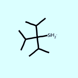 CC(C)C([SiH2])(C(C)C)C(C)C